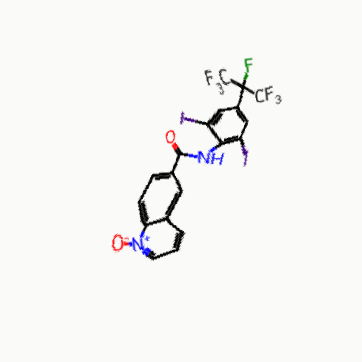 O=C(Nc1c(I)cc(C(F)(C(F)(F)F)C(F)(F)F)cc1I)c1ccc2c(ccc[n+]2[O-])c1